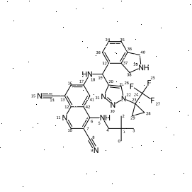 CC(C)(C)CNc1c(C#N)cnc2c(C#N)cc(NC(c3cn(C4(C(F)(F)F)CC4)nn3)c3cccc4c3CNC4)cc12